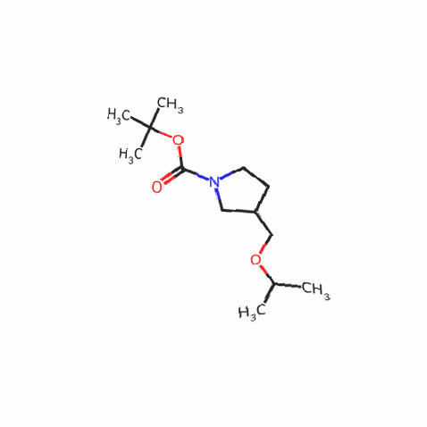 CC(C)OCC1CCN(C(=O)OC(C)(C)C)C1